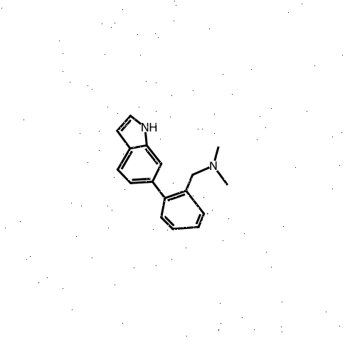 CN(C)Cc1[c]cccc1-c1ccc2cc[nH]c2c1